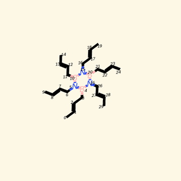 C/C=C/CB1N(C/C=C/C)B(C/C=C/C)N(C/C=C/C)B(C/C=C/C)N1C/C=C/C